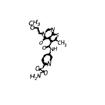 COCCn1cnc2sc(C)c(C(=O)Nc3ccc(S(N)(=O)=O)nc3)c2c1=O